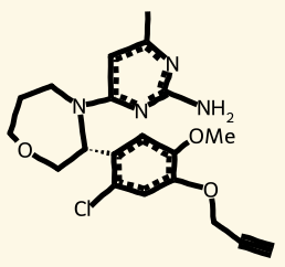 C#CCOc1cc(Cl)c([C@@H]2COCCCN2c2cc(C)nc(N)n2)cc1OC